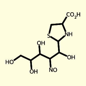 O=NC(C(O)C(O)CO)C(O)C1NC(C(=O)O)CS1